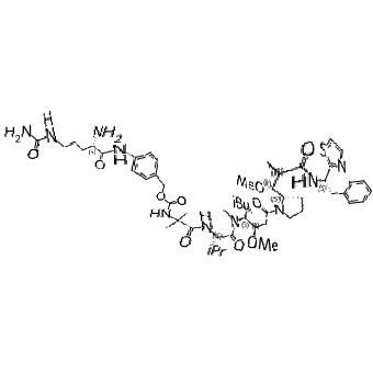 CC[C@H](C)[C@@H]([C@@H](CC(=O)N1CCC[C@H]1[C@H](OC)[C@@H](C)C(=O)N[C@@H](Cc1ccccc1)c1nccs1)OC)N(C)C(=O)[C@@H](NC(=O)C(C)(C)NC(=O)OCc1ccc(NC(=O)[C@@H](N)CCCNC(N)=O)cc1)C(C)C